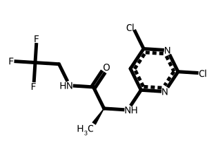 C[C@H](Nc1cc(Cl)nc(Cl)n1)C(=O)NCC(F)(F)F